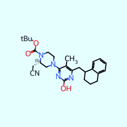 Cc1c(CC2CCCc3ccccc32)nc(O)nc1N1CCN(C(=O)OC(C)(C)C)[C@@H](CC#N)C1